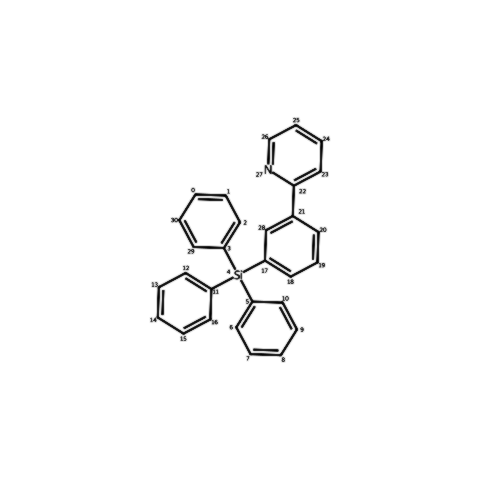 c1ccc([Si](c2ccccc2)(c2ccccc2)c2cccc(-c3ccccn3)c2)cc1